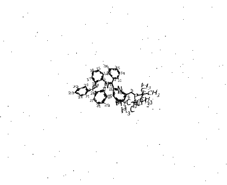 CC(C)(C)P(Cc1cccc(C(=Nc2ccccc2P(c2ccccc2)c2ccccc2)c2ccccc2)n1)C(C)(C)C